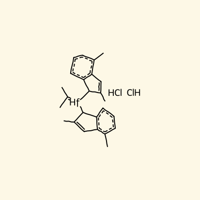 CC1=Cc2c(C)cccc2[CH]1[Hf](=[C](C)C)[CH]1C(C)=Cc2c(C)cccc21.Cl.Cl